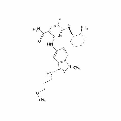 COCCCNc1nn(C)c2ccc(Nc3nc(N[C@@H]4CCCC[C@@H]4N)c(F)cc3C(N)=O)cc12